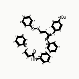 CC(C)(C)c1ccc(OC(/C=C/SSc2ccccc2)=N\c2ccccc2)cc1.O=C(/C=C\Sc1ccccc1)Nc1ccccc1